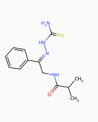 CC(C)C(=O)NC/C(=N/NC(N)=S)c1ccccc1